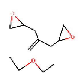 C=C(CC1CO1)CC1CO1.CCOCC